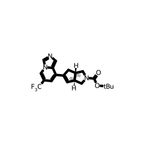 CC(C)(C)OC(=O)N1C[C@H]2CC(c3cc(C(F)(F)F)cn4cncc34)=C[C@@H]2C1